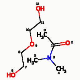 CC(=O)N(C)C.OCCOCCO